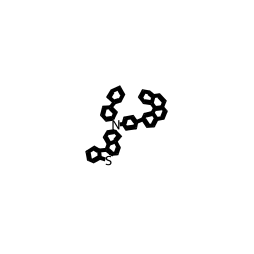 c1ccc(-c2cccc(N(c3ccc(-c4ccc5ccc6ccc7ccccc7c6c5c4)cc3)c3ccc4c(ccc5sc6ccccc6c54)c3)c2)cc1